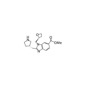 COC(=O)c1ccc2nc(C[C@@H]3CCNC3)n(C[C@@H]3CCO3)c2c1